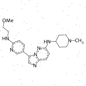 COCCNc1ccc(-c2cnc3ccc(NC4CCN(C)CC4)nn23)cn1